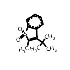 CC1=C(C(C)(C)C)c2ccccc2S1(=O)=O